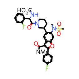 CNC(=O)c1c(-c2ccc(F)cc2)oc2cc(N(C)S(C)(=O)=O)c(C3CCCN(C(=O)[C@H](NC(=O)O)c4ccccc4F)C3)cc12